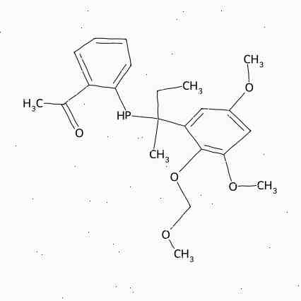 CCC(C)(Pc1ccccc1C(C)=O)c1cc(OC)cc(OC)c1OCOC